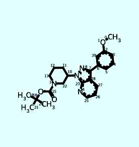 COc1cccc(-c2nn(C3CCCN(C(=O)OC(C)(C)C)C3)c3ncccc23)c1